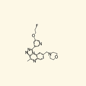 Cc1nc2ccc(CN3CCOCC3)cc2n2c(-c3cncc(OCCF)c3)nnc12